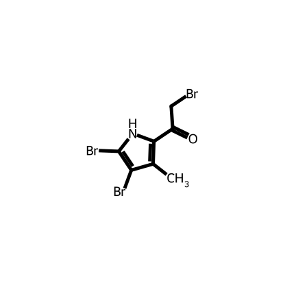 Cc1c(C(=O)CBr)[nH]c(Br)c1Br